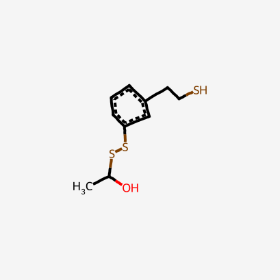 CC(O)SSc1cccc(CCS)c1